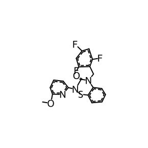 COc1cccc(N2Sc3ccccc3N(Cc3c(F)cc(F)cc3F)C2=O)n1